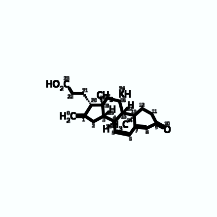 C=C1C[C@H]2[C@@H]3C=CC4=CC(=O)CC[C@]4(C)[C@H]3CC[C@]2(C)[C@H]1CCC(=O)O.[KH]